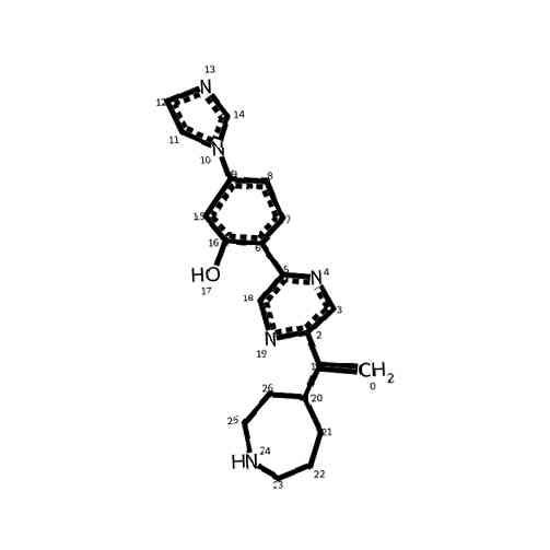 C=C(c1cnc(-c2ccc(-n3ccnc3)cc2O)cn1)C1CCCNCC1